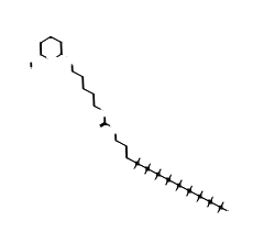 O=C(NCCCCCO[C@H]1O[C@H](CO)[C@@H](O)[C@H](O)[C@@H]1O)OCCCC(F)(F)C(F)(F)C(F)(F)C(F)(F)C(F)(F)C(F)(F)C(F)(F)C(F)(F)C(F)(F)F